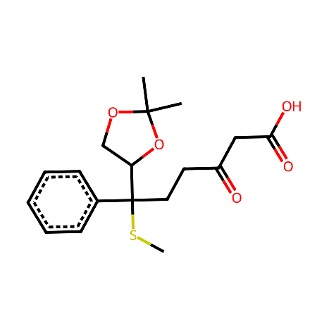 CSC(CCC(=O)CC(=O)O)(c1ccccc1)C1COC(C)(C)O1